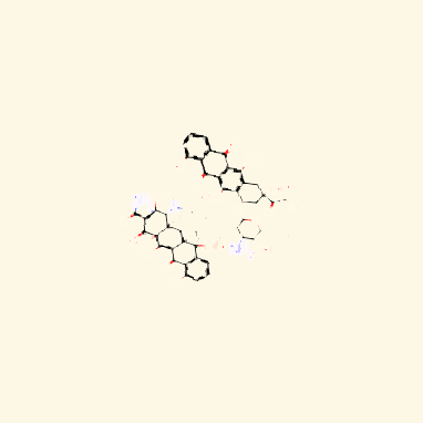 CN(C)[C@@H]1C(O)=C(C(N)=O)C(=O)[C@@]2(O)C(O)=C3C(=O)c4c(O)cccc4[C@@](C)(O)[C@H]3C[C@@H]12.COc1cccc2c1C(=O)c1c(O)c3c(c(O)c1C2=O)C[C@@](O)(C(=O)CO)C[C@@H]3O[C@H]1C[C@H](N)[C@@H](O)[C@H](C)O1